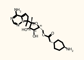 CC1([C@]2(C)O[C@H](COC(=O)C[C@H]3CC[C@H](N)CC3)[C@@H](O)[C@H]2O)CC=C2C(N)=NC=NN21